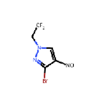 O=Nc1cn(CC(F)(F)F)nc1Br